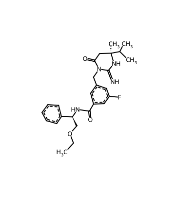 CCOC[C@H](NC(=O)c1cc(F)cc(CN2C(=N)N[C@](C)(C(C)C)CC2=O)c1)c1ccccc1